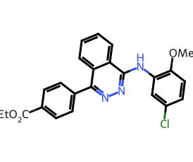 CCOC(=O)c1ccc(-c2nnc(Nc3cc(Cl)ccc3OC)c3ccccc23)cc1